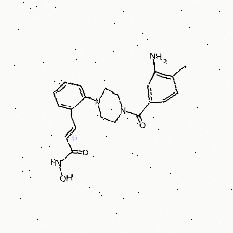 Cc1ccc(C(=O)N2CCN(c3ccccc3/C=C/C(=O)NO)CC2)cc1N